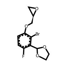 Fc1ccc(OC[C@H]2CO2)c(Br)c1C1OCCO1